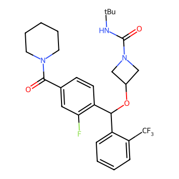 CC(C)(C)NC(=O)N1CC(OC(c2ccc(C(=O)N3CCCCC3)cc2F)c2ccccc2C(F)(F)F)C1